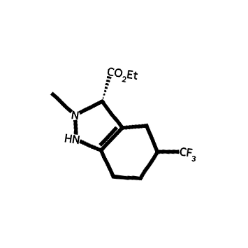 CCOC(=O)[C@@H]1C2=C(CCC(C(F)(F)F)C2)NN1C